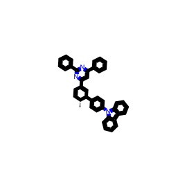 C[C@@H]1C=CC(c2cc(-c3ccccc3)nc(-c3ccccc3)n2)=CC1c1ccc(-n2c3ccccc3c3ccccc32)cc1